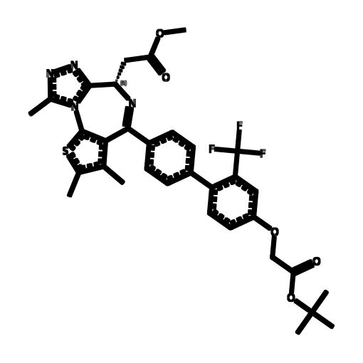 COC(=O)C[C@@H]1N=C(c2ccc(-c3ccc(OCC(=O)OC(C)(C)C)cc3C(F)(F)F)cc2)c2c(sc(C)c2C)-n2c(C)nnc21